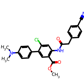 COC(=O)c1cc(-c2ccc(N(C)C)cc2)c(Cl)cc1NC(=O)Cc1ccc(C#N)cc1